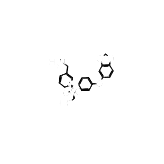 CCS(=O)(=O)[N+]1(c2ccc(Oc3ccc4c(c3)OCO4)cc2)C=C(CN)C=CC1